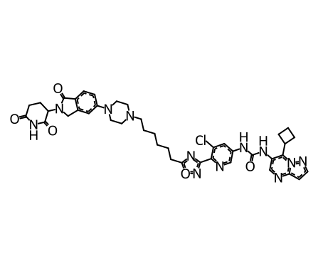 O=C1CCC(N2Cc3cc(N4CCN(CCCCCCc5nc(-c6ncc(NC(=O)Nc7cnc8ccnn8c7C7CCC7)cc6Cl)no5)CC4)ccc3C2=O)C(=O)N1